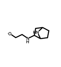 [O]CCNC1CC2CCC1N2